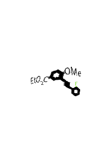 CCOC(=O)c1ccc(OC)c(C=Cc2ccccc2F)c1